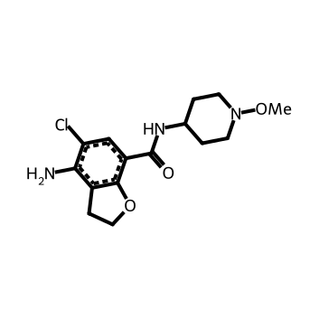 CON1CCC(NC(=O)c2cc(Cl)c(N)c3c2OCC3)CC1